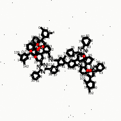 Cc1cc(C)cc(-c2ccc3c(c2)c2ccccc2n3-c2ccc(-c3nc(-c4ccccc4)nc(-c4cccc(-c5cc(-c6ccc7c(c6)c6ccccc6n7-c6cccc(C#N)c6-c6cc(-c7nc(-c8ccccc8)nc(-c8ccccc8)n7)ccc6-n6c7ccccc7c7cc(-c8ccc(C)cc8C)ccc76)c(C)cc5C)c4)n3)cc2-c2c(C#N)cccc2-n2c3ccccc3c3cc(-c4cc(C)cc(C)c4)ccc32)c1